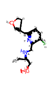 CC(C)C(CO)NCc1nc(C2=COCC2)ccc1F